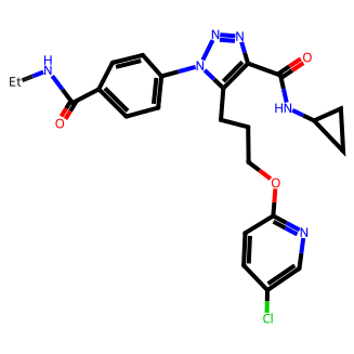 CCNC(=O)c1ccc(-n2nnc(C(=O)NC3CC3)c2CCCOc2ccc(Cl)cn2)cc1